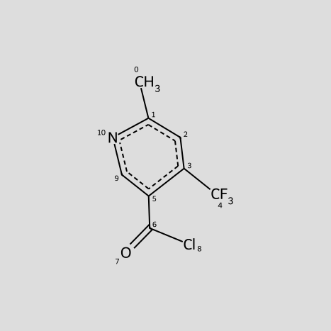 Cc1cc(C(F)(F)F)c(C(=O)Cl)cn1